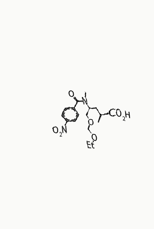 CCOCOC[C@H](C[C@H](C)C(=O)O)N(C)C(=O)c1ccc([N+](=O)[O-])cc1